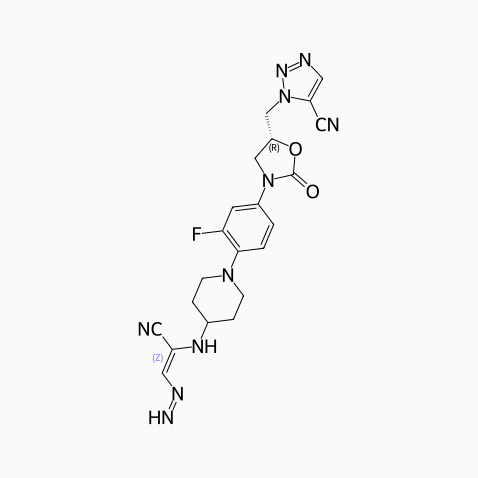 N#C/C(=C/N=N)NC1CCN(c2ccc(N3C[C@H](Cn4nncc4C#N)OC3=O)cc2F)CC1